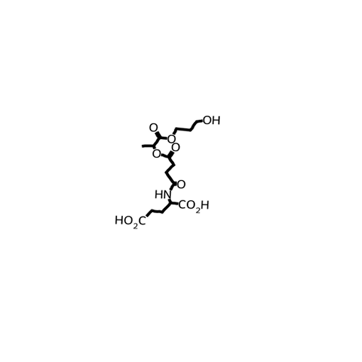 CC(OC(=O)CCC(=O)NC(CCC(=O)O)C(=O)O)C(=O)OCCCO